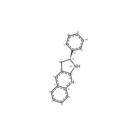 [c]1ccc2cc3c(nc2c1)N[C@H](c1ccccc1)C3